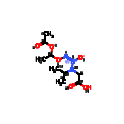 CC(=O)OC(C)O/N=[N+](/[O-])N(CC(=O)O)C(C)C